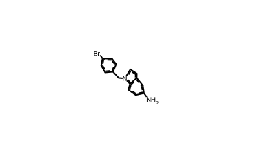 Nc1ccc2c(ccn2Cc2ccc(Br)cc2)c1